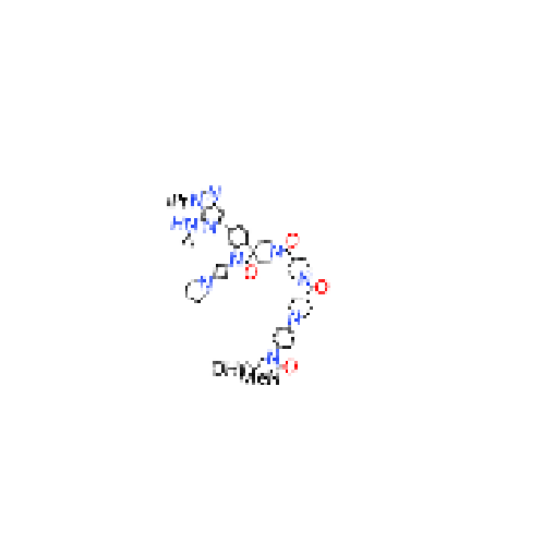 CNC(=O)N(CCC=O)c1ccc(N2CCC(C(=O)N3CCC(C(=O)N4CCC5(CC4)C(=O)N(C4CC(N6CCCCC6)C4)c4cc(-c6cc7ncn(C(C)C)c7c(NC7CC7)n6)ccc45)CC3)CC2)cc1